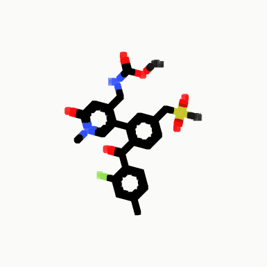 CCS(=O)(=O)Cc1ccc(C(=O)c2ccc(C)cc2F)c(-c2cn(C)c(=O)cc2CNC(=O)OC(C)(C)C)c1